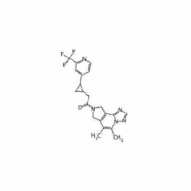 Cc1c2c(c3ncnn3c1C)CN(C(=O)CC1CC1c1ccnc(C(F)(F)F)c1)C2